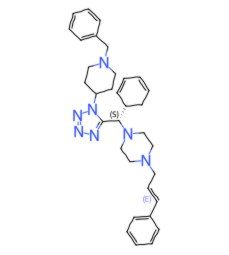 C1=CCC([C@@H](c2nnnn2C2CCN(Cc3ccccc3)CC2)N2CCN(C/C=C/c3ccccc3)CC2)C=C1